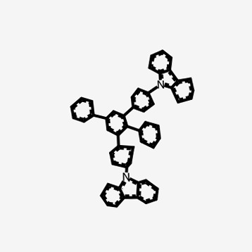 c1ccc(-c2cc(-c3ccc(-n4c5ccccc5c5ccccc54)cc3)c(-c3ccccc3)c(-c3ccc(-n4c5ccccc5c5ccccc54)cc3)c2)cc1